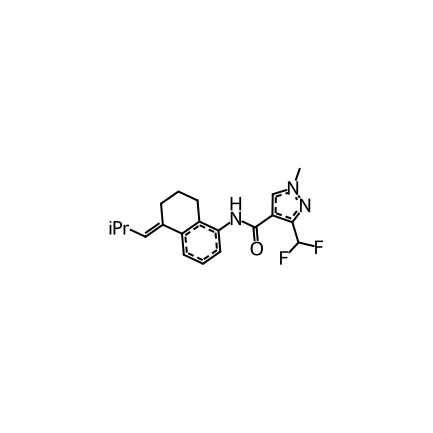 CC(C)/C=C1\CCCc2c(NC(=O)c3cn(C)nc3C(F)F)cccc21